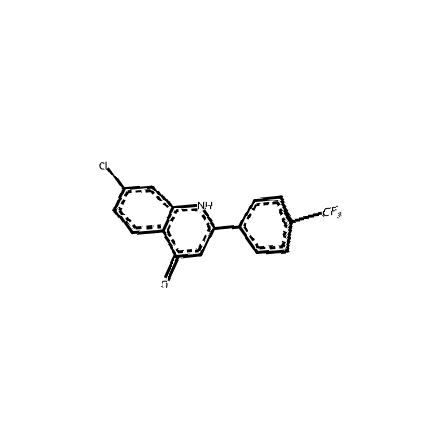 O=c1cc(-c2ccc(C(F)(F)F)cc2)[nH]c2cc(Cl)ccc12